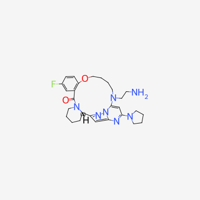 NCCN1CCCCOc2ccc(F)cc2C(=O)N2CCCC[C@H]2c2cc3nc(N4CCCC4)cc1n3n2